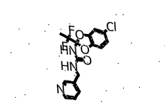 CC(F)(F)C1(NC(=O)NCc2cccnc2)Oc2ccc(Cl)cc2O1